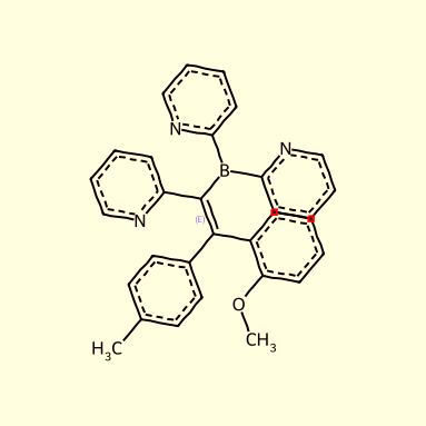 COc1ccccc1/C(=C(\B(c1ccccn1)c1ccccn1)c1ccccn1)c1ccc(C)cc1